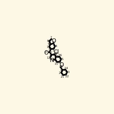 O=C(c1ccc2occc2c1)c1cnc2cc(OCc3ccccc3)ccc2c1Cl